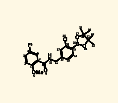 COc1ccc(F)cc1C(=O)NCc1ccc(B2OC(C)(C)C(C)(C)O2)c(Cl)c1